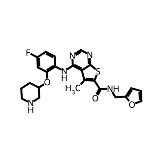 Cc1c(C(=O)NCc2ccco2)sc2ncnc(Nc3ccc(F)cc3OC3CCCNC3)c12